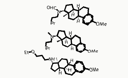 CCOCCCN[C@H]1CC[C@H]2[C@@H]3CCc4cc(OC)ccc4[C@H]3CC[C@]12C.COc1ccc2c(c1)CC[C@@H]1[C@@H]2CC[C@]2(C)[C@@H](N(C)CCC(C)C)CC[C@@H]12.COc1ccc2c(c1)CC[C@@H]1[C@@H]2CC[C@]2(C)[C@@H](N(C=O)CCC(C)C)CC[C@@H]12